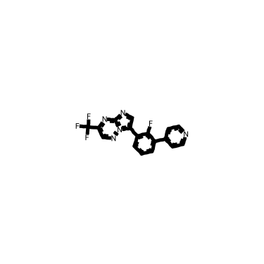 Fc1c(-c2ccncc2)cccc1-c1cnc2nc(C(F)(F)F)cnn12